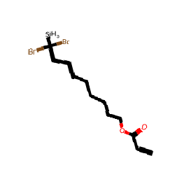 C=CC(=O)OCCCCCCCCC([SiH3])(Br)Br